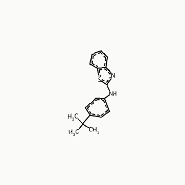 CC(C)(C)c1ccc(Nc2nc3ccccc3s2)cc1